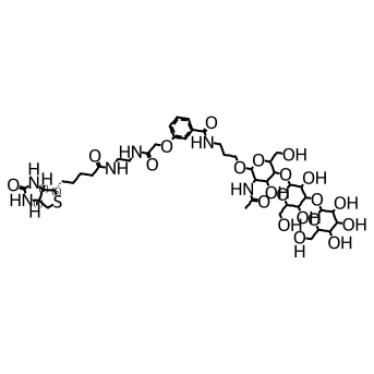 CC(=O)NC1C(OCCCNC(=O)c2cccc(OCC(=O)NCCNC(=O)CCCC[C@@H]3SC[C@@H]4NC(=O)N[C@@H]43)c2)OC(CO)C(OC2OC(CO)C(O)C(OC3OC(CO)C(O)C(O)C3O)C2O)C1O